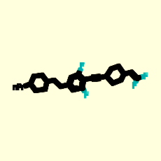 CCCC1CCC(CCc2cc(F)c(C#CC3CCC(C=C(F)F)CC3)c(F)c2)CC1